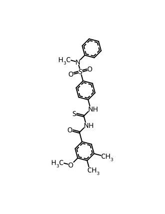 COc1cc(C(=O)NC(=S)Nc2ccc(S(=O)(=O)N(C)c3ccccc3)cc2)cc(C)c1C